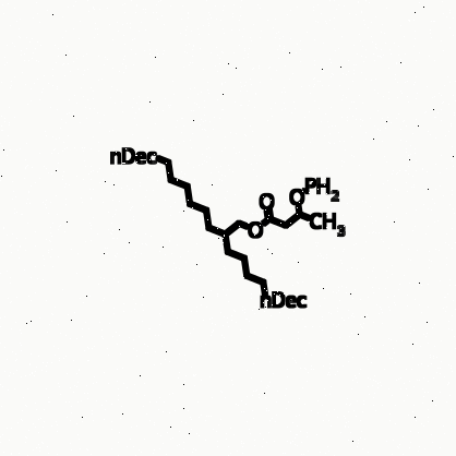 CCCCCCCCCCCCCCCCC(CCCCCCCCCCCCCC)COC(=O)CC(C)OP